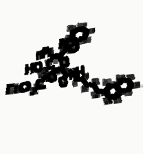 CCCC=C(O[C@@H](C(=O)NCCCCCc1ccc2ccccc2c1)[C@@H](OCC(=O)OCC)C(=O)O)c1nc2ccccc2o1